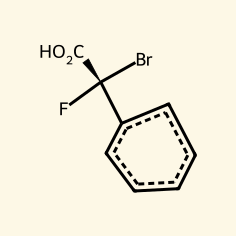 O=C(O)[C@@](F)(Br)c1ccccc1